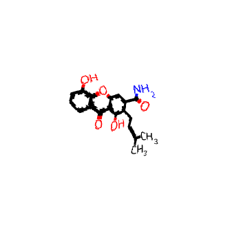 CC(C)=CCc1c(C(N)=O)cc2oc3c(O)cccc3c(=O)c2c1O